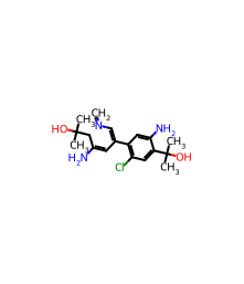 C=N/C=C(\C=C(\N)CC(C)(C)O)c1cc(N)c(C(C)(C)O)cc1Cl